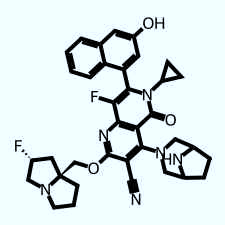 N#Cc1c(OC[C@@]23CCCN2C[C@H](F)C3)nc2c(F)c(-c3cc(O)cc4ccccc34)n(C3CC3)c(=O)c2c1N1CC2CCC(C1)N2